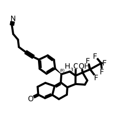 CC12C[C@H](c3ccc(C#CCCCC#N)cc3)C3=C4CCC(=O)C=C4CCC3C1CCC2(O)C(F)(F)C(F)(F)F